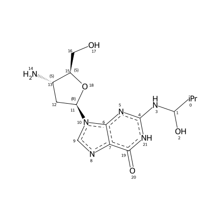 CC(C)C(O)Nc1nc2c(ncn2[C@H]2C[C@H](N)[C@@H](CO)O2)c(=O)[nH]1